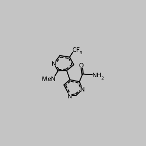 CNc1ncc(C(F)(F)F)cc1-c1cncnc1C(N)=O